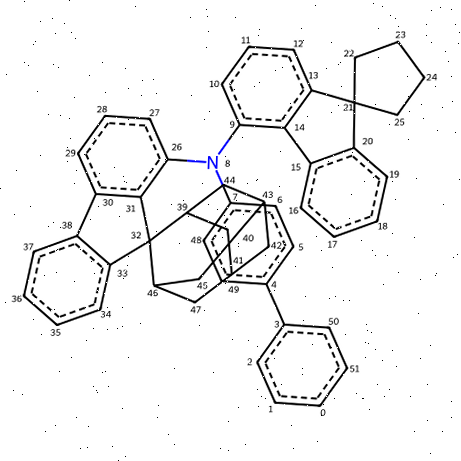 c1ccc(-c2ccc(N(c3cccc4c3-c3ccccc3C43CCCC3)c3cccc4c3C3(c5ccccc5-4)C4CC5CC(C4)CC3C5)cc2)cc1